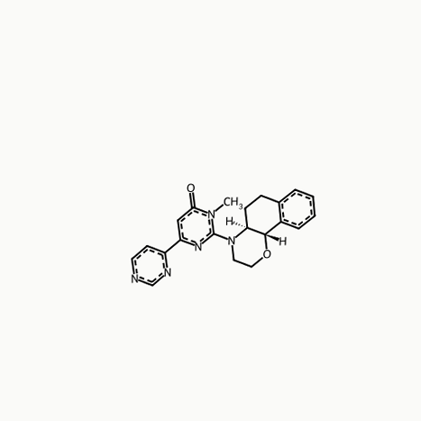 Cn1c(N2CCO[C@H]3c4ccccc4CC[C@@H]32)nc(-c2ccncn2)cc1=O